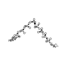 [Mg+2].[Mg+2].[Mg+2].[O]=[Nb](=[O])[O-].[O]=[Nb](=[O])[O-].[O]=[Nb](=[O])[O-].[O]=[Nb](=[O])[O-].[O]=[Zr]([O-])[O-].[O]=[Zr]([O-])[O-].[O]=[Zr]([O-])[O-].[O]=[Zr]([O-])[O-].[Pb+2].[Pb+2].[Pb+2]